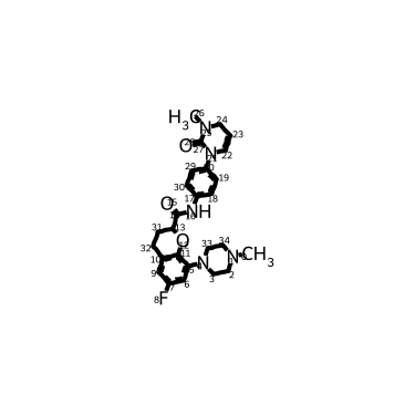 CN1CCN(c2cc(F)cc3c2OC(C(=O)Nc2ccc(N4C=CCN(C)C4=O)cc2)CC3)CC1